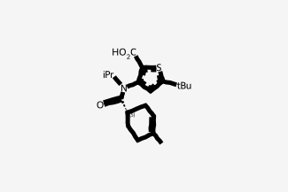 CC1=CC[C@@H](C(=O)N(c2cc(C(C)(C)C)sc2C(=O)O)C(C)C)CC1